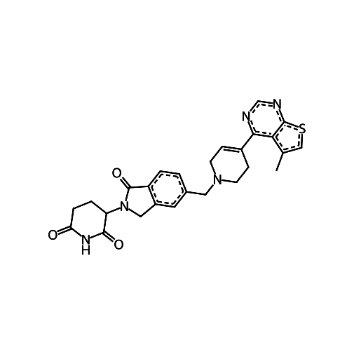 Cc1csc2ncnc(C3=CCN(Cc4ccc5c(c4)CN(C4CCC(=O)NC4=O)C5=O)CC3)c12